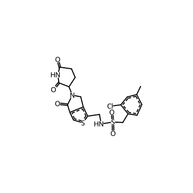 Cc1ccc(CS(=O)(=O)NCc2scc3c2CN(C2CCC(=O)NC2=O)C3=O)c(Cl)c1